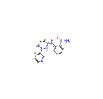 NC(=O)c1ccccc1Nc1ccnc(-c2cccnc2)n1